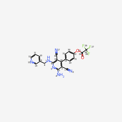 N#Cc1c(N)nc(NCc2cccnc2)c(C#N)c1-c1ccc(OC(=O)C(F)(F)F)cc1